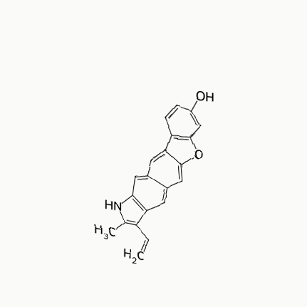 C=Cc1c(C)[nH]c2cc3cc4c(cc3cc12)oc1cc(O)ccc14